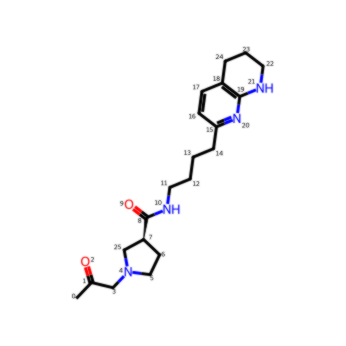 CC(=O)CN1CC[C@H](C(=O)NCCCCc2ccc3c(n2)NCCC3)C1